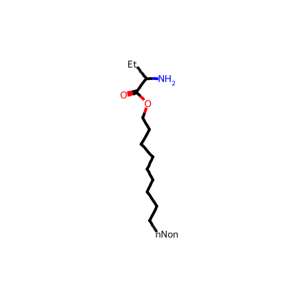 CCCCCCCCCCCCCCCCCCOC(=O)C(N)CC